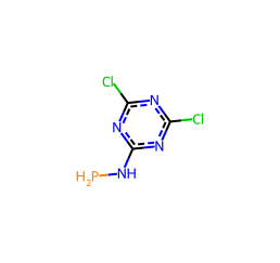 PNc1nc(Cl)nc(Cl)n1